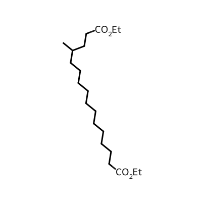 CCOC(=O)CCCCCCCCCCCC(C)CCC(=O)OCC